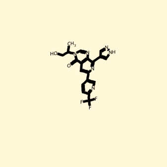 CC(CO)n1cnc2c(-c3cn[nH]c3)nc(-c3ccc(C(F)(F)F)nc3)cc2c1=O